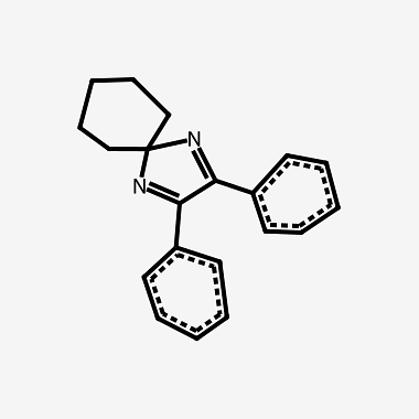 c1ccc(C2=NC3(CCCCC3)N=C2c2ccccc2)cc1